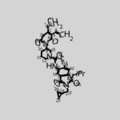 C=CC1=C(C=C)C(=O)N(C2CCCN(C(=O)Nc3cc4c(=O)n(CC5CC5)c(=O)n(C(C)C)c4cc3F)C2)C(=O)C1